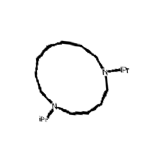 CC(C)N1CCCCCCCN(C(C)C)CCCC1